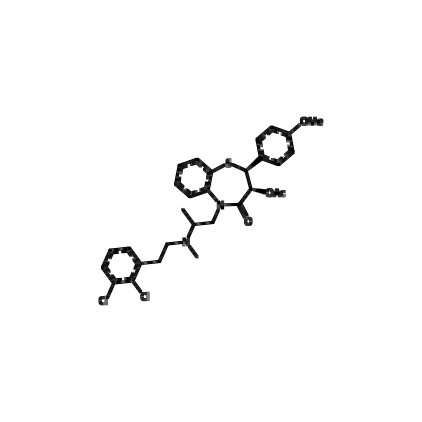 COc1ccc([C@@H]2Sc3ccccc3N(CC(C)N(C)CCc3cccc(Cl)c3Cl)C(=O)[C@@H]2OC(C)=O)cc1